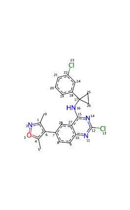 Cc1noc(C)c1-c1ccc2nc(Cl)nc(NC3(c4cccc(Cl)c4)CC3)c2c1